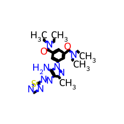 CCN(CC)C(=O)c1cc(C(=O)N(CC)CC)cc(-n2nc(C)c(N=Nc3ncns3)c2N)c1